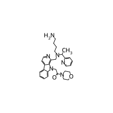 CC(c1ccccn1)N(CCCCN)Cc1nccc2c3ccccc3n(CC(=O)N3CCOCC3)c12